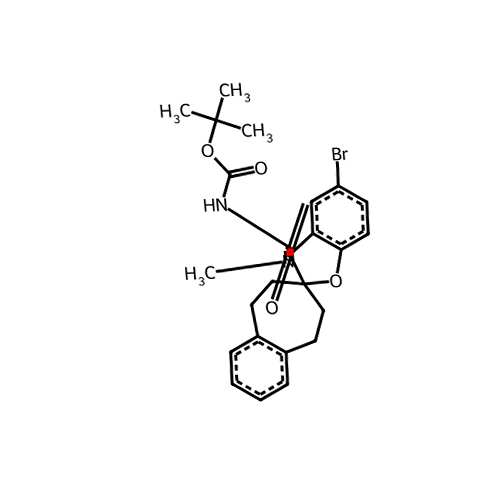 CN1C(=O)C2(N=C1NC(=O)OC(C)(C)C)c1cc(Br)ccc1OC21CCc2ccccc2CC1